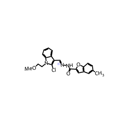 COCCn1c(Cl)c(/C=N/NC(=O)c2cc3cc(C)ccc3o2)c2ccccc21